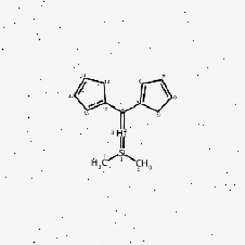 C[Si](C)=[Hf]=[C](C1=CC=CC1)C1=CC=CC1